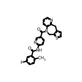 Cc1ccc(F)cc1C(=O)Nc1ccc(C(=O)N2Cc3sccc3Cc3ncccc32)cn1